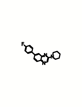 Fc1ccc(-c2ccc3ncc(N4CCCCC4)nc3c2)cc1